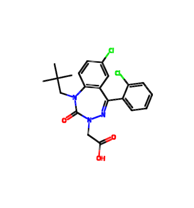 CC(C)(C)CN1C(=O)N(CC(=O)O)N=C(c2ccccc2Cl)c2cc(Cl)ccc21